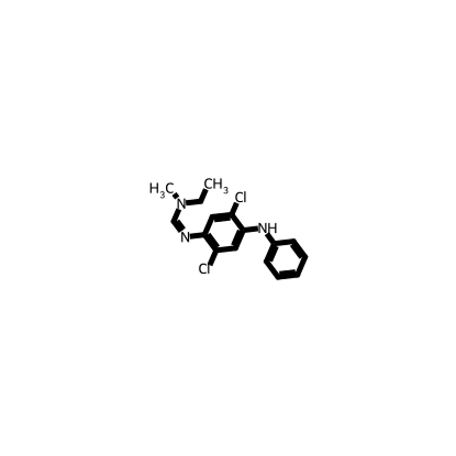 CCN(C)/C=N\c1cc(Cl)c(Nc2ccccc2)cc1Cl